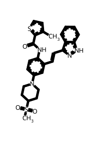 Cc1ccsc1C(=O)Nc1ccc(N2CCC(S(C)(=O)=O)CC2)cc1C=Cc1n[nH]c2ccccc12